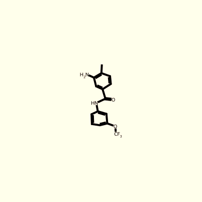 Cc1ccc(C(=O)Nc2cccc(OC(F)(F)F)c2)cc1N